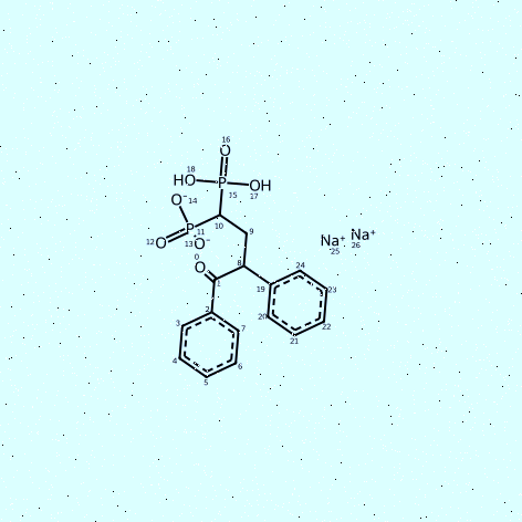 O=C(c1ccccc1)C(CC(P(=O)([O-])[O-])P(=O)(O)O)c1ccccc1.[Na+].[Na+]